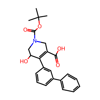 CC(C)(C)OC(=O)N1CC(C(=O)O)=C(c2cccc(-c3ccccc3)c2)C(O)C1